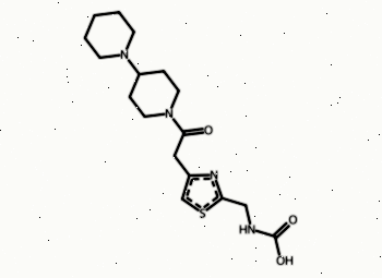 O=C(O)NCc1nc(CC(=O)N2CCC(N3CCCCC3)CC2)cs1